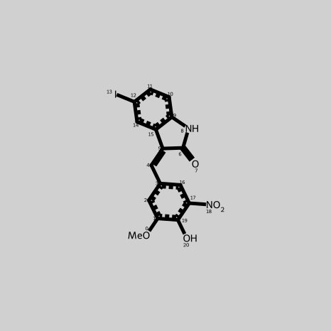 COc1cc(C=C2C(=O)Nc3ccc(I)cc32)cc([N+](=O)[O-])c1O